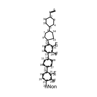 C=CC1CCC(C2CCC(c3ccc(-c4ccc(-c5ccc(CCCCCCCCC)c(F)c5F)cc4)c(F)c3F)CC2)CC1